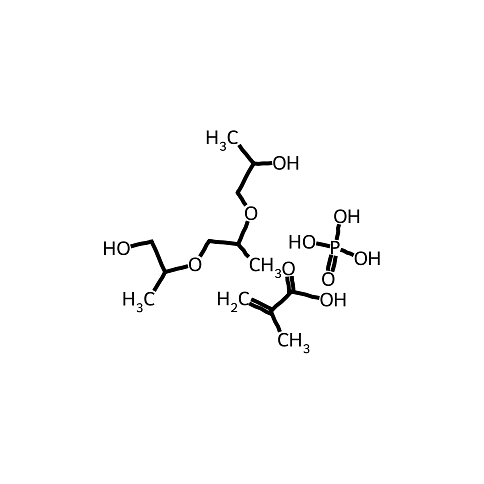 C=C(C)C(=O)O.CC(O)COC(C)COC(C)CO.O=P(O)(O)O